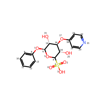 O=S(=O)(O)C1O[C@@H](Oc2ccccc2)[C@H](O)[C@@H](Oc2ccncc2)[C@@H]1O